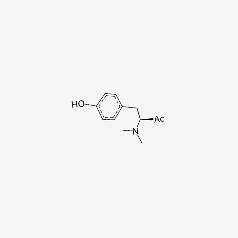 CC(=O)[C@H](Cc1ccc(O)cc1)N(C)C